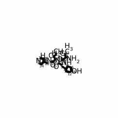 CCC(C)[C@H](NC(=O)[C@H](Cc1ccc(O)cc1)NC(=O)[C@@H](N)C(C)C)C(=O)NCc1ccncc1